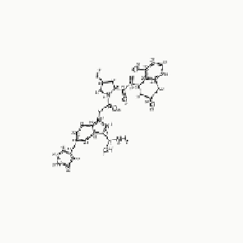 NC(O)c1nn(CC(=O)N2CC(F)CC2C(=O)NC2CC(=O)Cc3cccc(Cl)c32)c2ccc(-c3ccnnc3)cc12